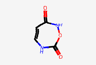 O=C1C=CNC(=O)ON1